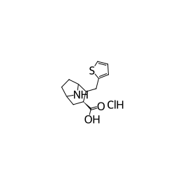 Cl.O=C(O)[C@H]1CC2CCC(N2)C1Cc1cccs1